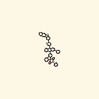 c1ccc(-c2ccc3c(-c4ccc(-c5ccc6oc7cc8ccccc8cc7c6c5)nc4)c4ccccc4c(-c4ccc5c(c4)-c4ccccc4C54c5ccccc5N(c5ccccc5)c5ccccc54)c3c2)cc1